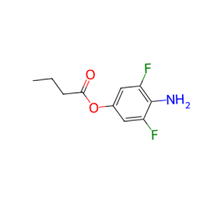 CCCC(=O)Oc1cc(F)c(N)c(F)c1